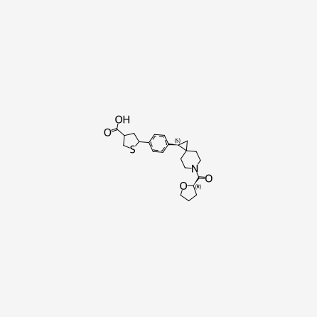 O=C(O)C1CSC(c2ccc([C@H]3CC34CCN(C(=O)[C@H]3CCCO3)CC4)cc2)C1